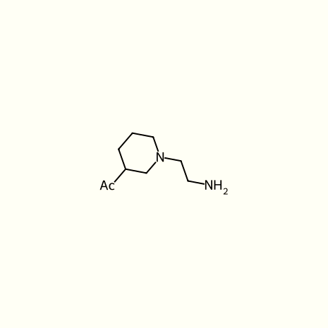 CC(=O)C1CCCN(CCN)C1